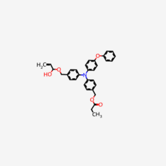 C=CC(O)OCc1ccc(N(c2ccc(COC(=O)CC)cc2)c2ccc(Oc3ccccc3)cc2)cc1